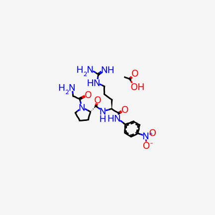 CC(=O)O.N=C(N)NCCC[C@H](NC(=O)[C@@H]1CCCN1C(=O)CN)C(=O)Nc1ccc([N+](=O)[O-])cc1